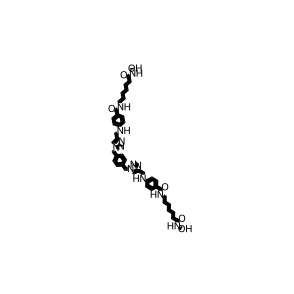 O=C(CCCCCCNC(=O)c1ccc(NCc2cn(Cc3ccc(Cn4cc(CNc5ccc(C(=O)NCCCCCCC(=O)NO)cc5)nn4)cc3)nn2)cc1)NO